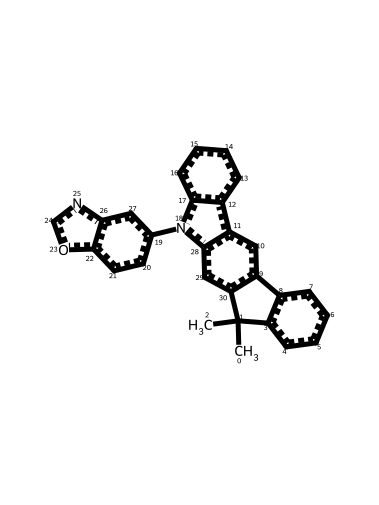 CC1(C)c2ccccc2-c2cc3c4ccccc4n(-c4ccc5ocnc5c4)c3cc21